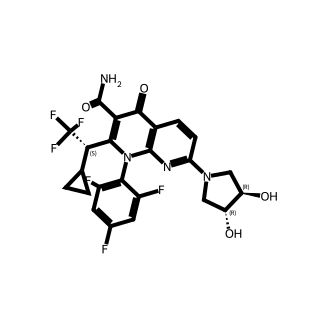 NC(=O)c1c([C@H](C2CC2)C(F)(F)F)n(-c2c(F)cc(F)cc2F)c2nc(N3C[C@@H](O)[C@H](O)C3)ccc2c1=O